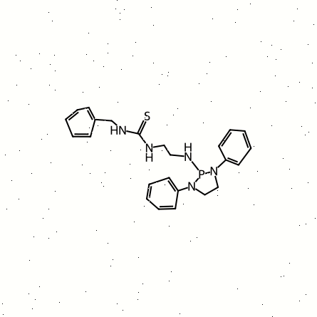 S=C(NCCNP1N(c2ccccc2)CCN1c1ccccc1)NCc1ccccc1